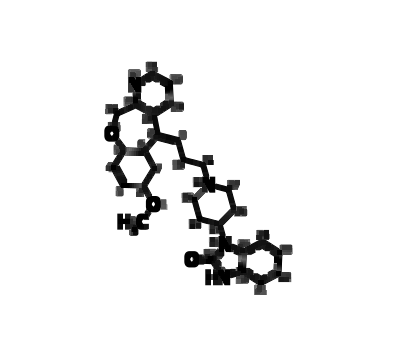 COC1C=CC2=C(C1)C(=CCCN1CCC(n3c(=O)[nH]c4ccccc43)CC1)c1cccnc1CO2